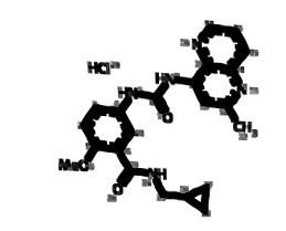 COc1ccc(NC(=O)Nc2cc(C)nc3cccnc23)cc1C(=O)NCC1CC1.Cl